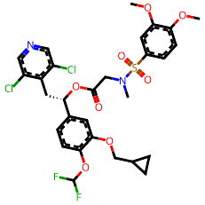 COc1ccc(S(=O)(=O)N(C)CC(=O)O[C@@H](Cc2c(Cl)cncc2Cl)c2ccc(OC(F)F)c(OCC3CC3)c2)cc1OC